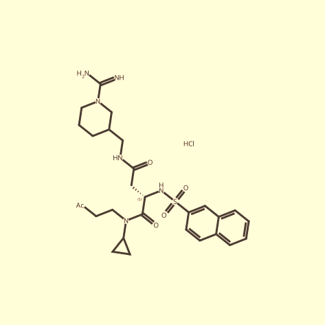 CC(=O)CCN(C(=O)[C@H](CC(=O)NCC1CCCN(C(=N)N)C1)NS(=O)(=O)c1ccc2ccccc2c1)C1CC1.Cl